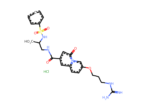 Cl.N=C(N)NCCCOc1ccc2cc(C(=O)NCC(NS(=O)(=O)c3ccccc3)C(=O)O)cc(=O)n2c1